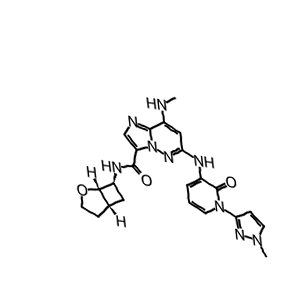 CNc1cc(Nc2cccn(-c3ccn(C)n3)c2=O)nn2c(C(=O)N[C@H]3C[C@@H]4CCO[C@@H]43)cnc12